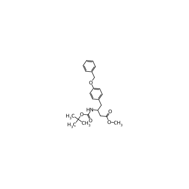 COC(=O)CC(Cc1ccc(OCc2ccccc2)cc1)NC(=O)OC(C)(C)C